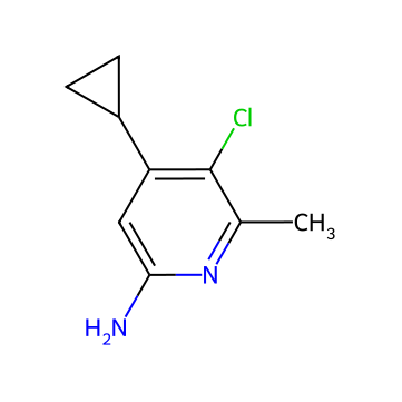 Cc1nc(N)cc(C2CC2)c1Cl